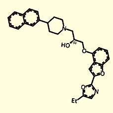 CCc1cnc(-c2cc3c(OC[C@@H](O)CN4CCC(c5ccc6ccccc6c5)CC4)cccc3o2)o1